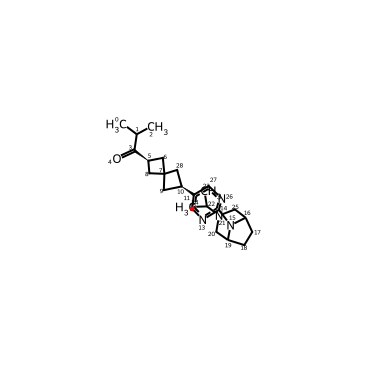 CC(C)C(=O)[C@H]1CC2(C1)C[C@H](c1cnc(N3C4CCC3CN(C(C)C)C4)nc1)C2